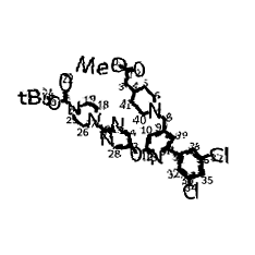 COC(=O)CC1CCN(Cc2cc(Oc3cnc(N4CCN(C(=O)OC(C)(C)C)CC4)nc3)nc(-c3cc(Cl)cc(Cl)c3)c2)CC1